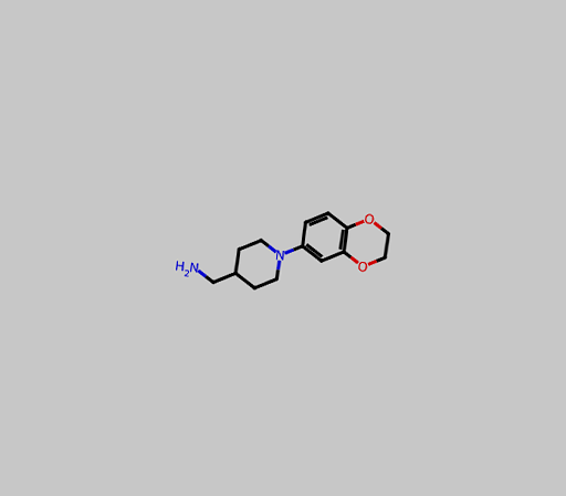 NCC1CCN(c2ccc3c(c2)OCCO3)CC1